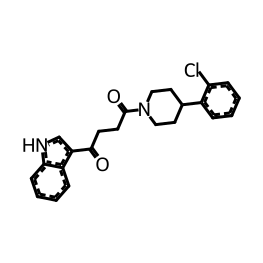 O=C(CCC(=O)N1CCC(c2ccccc2Cl)CC1)c1c[nH]c2ccccc12